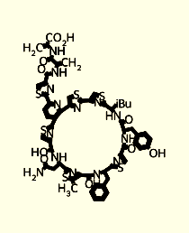 C=C(NC(=O)C(=C)NC(=O)c1csc(-c2ccc3c(n2)-c2csc(n2)-c2csc(n2)C(C(C)CC)NC(=O)C(Cc2ccc(O)cc2)NC(=O)c2csc(n2)C(Cc2ccccc2)NC(=O)c2nc(sc2C)C(CC(N)=O)NC(O)c2csc-3n2)n1)C(=O)O